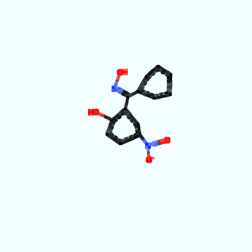 O=[N+]([O-])c1ccc(O)c(C(=NO)c2ccccc2)c1